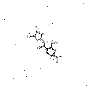 CCN1CC(NC(=O)c2cnc(N(C)C)nc2OC)CN1CC